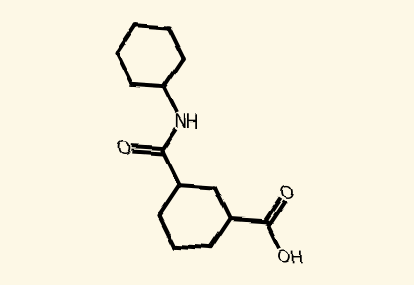 O=C(O)C1CCCC(C(=O)NC2CCCCC2)C1